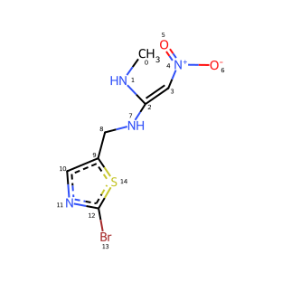 CN/C(=C\[N+](=O)[O-])NCc1cnc(Br)s1